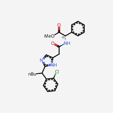 CCCCC(c1ncc(CC(=O)N[C@H](C(=O)OC)c2ccccc2)[nH]1)c1ccccc1Cl